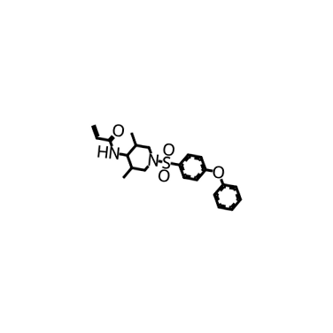 C=CC(=O)NC1C(C)CN(S(=O)(=O)c2ccc(Oc3ccccc3)cc2)CC1C